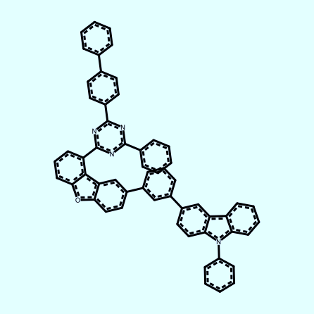 c1ccc(-c2ccc(-c3nc(-c4ccccc4)nc(-c4cccc5oc6ccc(-c7cccc(-c8ccc9c(c8)c8ccccc8n9-c8ccccc8)c7)cc6c45)n3)cc2)cc1